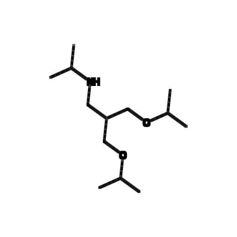 CC(C)NCC(COC(C)C)COC(C)C